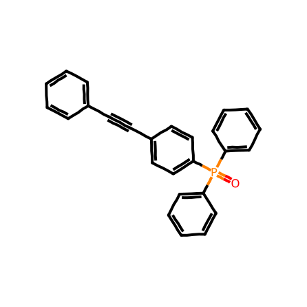 O=P(c1ccccc1)(c1ccccc1)c1ccc(C#Cc2ccccc2)cc1